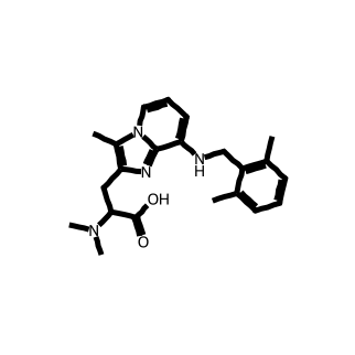 Cc1cccc(C)c1CNc1cccn2c(C)c(CC(C(=O)O)N(C)C)nc12